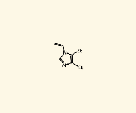 C=Cn1cnc(CC)c1CC